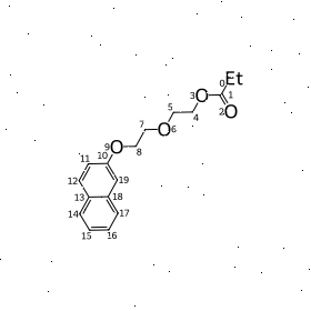 CCC(=O)OCCOCCOc1ccc2ccccc2c1